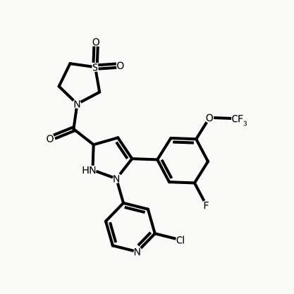 O=C(C1C=C(C2=CC(F)CC(OC(F)(F)F)=C2)N(c2ccnc(Cl)c2)N1)N1CCS(=O)(=O)C1